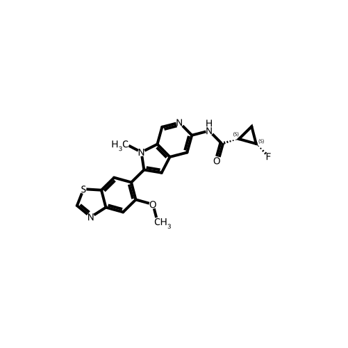 COc1cc2ncsc2cc1-c1cc2cc(NC(=O)[C@@H]3C[C@@H]3F)ncc2n1C